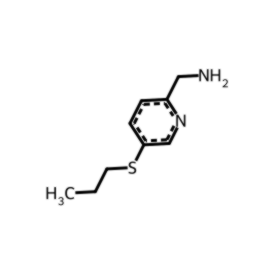 CCCSc1ccc(CN)nc1